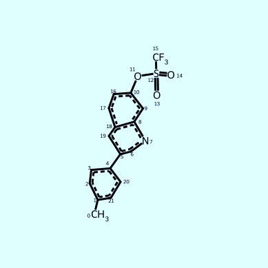 Cc1ccc(-c2cnc3cc(OS(=O)(=O)C(F)(F)F)ccc3c2)cc1